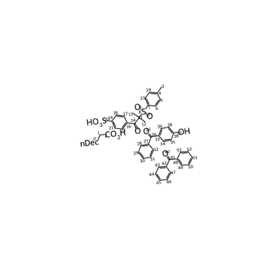 CCCCCCCCCCCC(=O)O.Cc1ccc(S(=O)(=O)C(C)(C)C(=O)c2ccc(S(=O)(=O)O)cc2)cc1.O=C(c1ccccc1)c1ccc(O)cc1.O=C(c1ccccc1)c1ccccc1